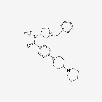 CN(C(=O)c1ccc(N2CCC(N3CCCCC3)CC2)cc1)[C@@H]1CCN(Cc2ccccc2)C1